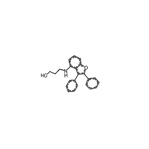 OCCCNc1cccc2oc(-c3ccccc3)c(-c3ccccc3)c12